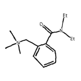 CCN(CC)C(=O)c1ccccc1C[Si](C)(C)C